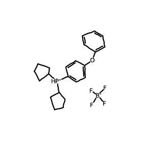 F[B-](F)(F)F.c1ccc(Oc2ccc([PH+](C3CCCC3)C3CCCC3)cc2)cc1